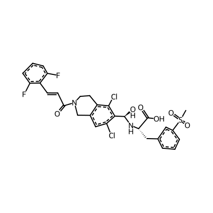 CS(=O)(=O)c1cccc(C[C@H](N[C@H](O)c2c(Cl)cc3c(c2Cl)CCN(C(=O)/C=C/c2c(F)cccc2F)C3)C(=O)O)c1